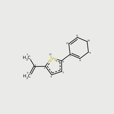 C=C(C)c1ccc(C2=CCCC=C2)s1